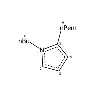 [CH2]CCCn1cccc1CCCCC